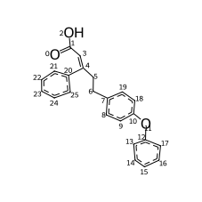 O=C(O)/C=C(/CCc1ccc(Oc2ccccc2)cc1)c1ccccc1